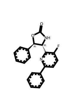 O=C1N[C@H](c2nc(-c3ccccc3)ccc2F)[C@@H](c2ccccc2)O1